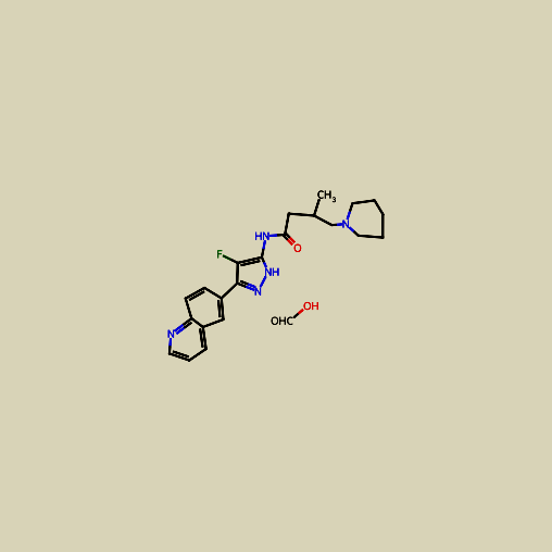 CC(CC(=O)Nc1[nH]nc(-c2ccc3ncccc3c2)c1F)CN1CCCCC1.O=CO